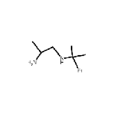 CCC(C)(C)NCC(C)N